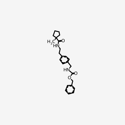 CC1(C(=O)NCCc2ccc(CNC(=O)OCc3ccccc3)cc2)CCCC1